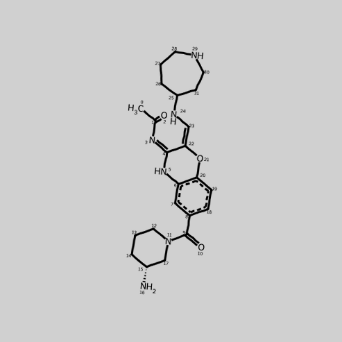 CC(=O)/N=C1/Nc2cc(C(=O)N3CCC[C@@H](N)C3)ccc2O/C1=C/NC1CCCNCC1